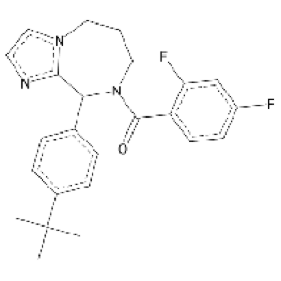 CC(C)(C)c1ccc(C2c3nccn3CCCN2C(=O)c2ccc(F)cc2F)cc1